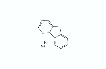 [Na].[Na].c1ccc2c(c1)Cc1ccccc1-2